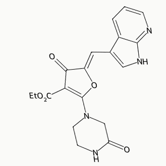 CCOC(=O)C1=C(N2CCNC(=O)C2)O/C(=C\c2c[nH]c3ncccc23)C1=O